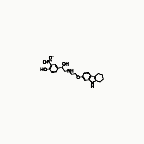 O=[N+]([O-])c1cc(C(O)CNCCOc2ccc3c4c([nH]c3c2)CCCC4)ccc1O